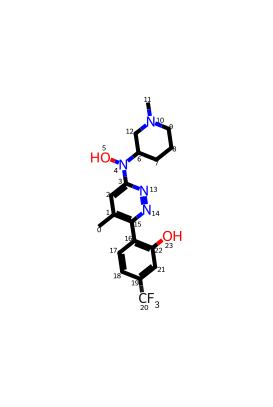 Cc1cc(N(O)C2CCCN(C)C2)nnc1-c1ccc(C(F)(F)F)cc1O